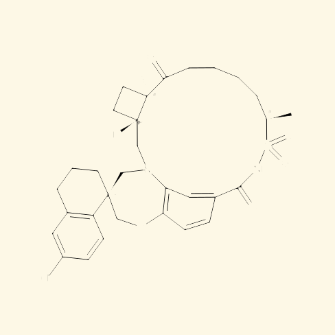 C[C@@H]1CCCCC(=O)[C@@H]2CC[C@H]2CN2C[C@@]3(CCCc4cc(Cl)ccc43)COc3ccc(cc32)C(=O)NS1(=O)=O